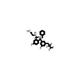 C#CCNC(=O)N[C@](Cc1ccccc1)(c1ccc(F)cc1)c1cc(F)cc(CC(F)(F)C(F)F)c1